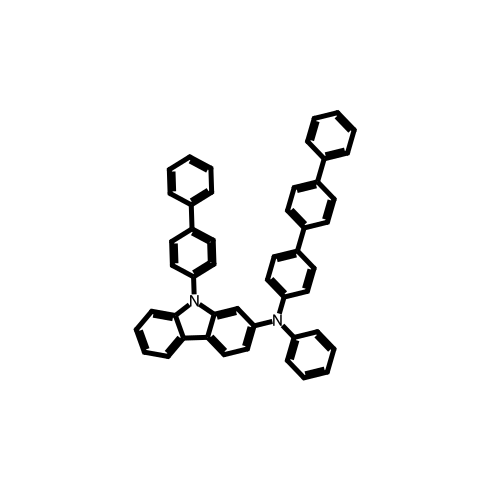 C1=C=C(n2c3ccccc3c3ccc(N(c4ccccc4)c4ccc(-c5ccc(-c6ccccc6)cc5)cc4)cc32)C=CC=1c1ccccc1